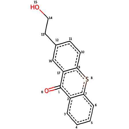 O=c1c2ccccc2sc2ccc(CCO)cc12